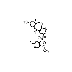 O=C1c2cc(NS(=O)(=O)c3cc(F)ccc3OC(F)(F)F)cnc2OC[C@H]2C[C@H](O)CN12